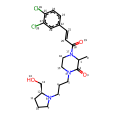 CC1C(=O)N(CCCN2CCC[C@H]2CO)CCN1C(=O)C=Cc1ccc(Cl)c(Cl)c1